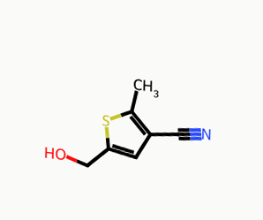 Cc1sc(CO)cc1C#N